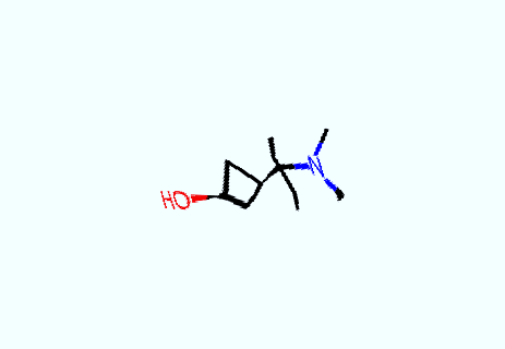 CN(C)C(C)(C)[C@H]1C[C@@H](O)C1